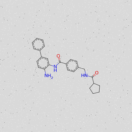 Nc1ccc(-c2ccccc2)cc1NC(=O)c1ccc(CNC(=O)C2CCCC2)cc1